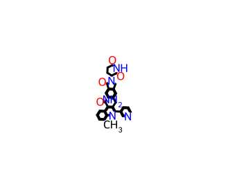 Cc1cccc2c(C(N)=O)c(Cc3ccc4c(c3)CN(C3CCC(=O)NC3=O)C4=O)c(-c3cccnc3)nc12